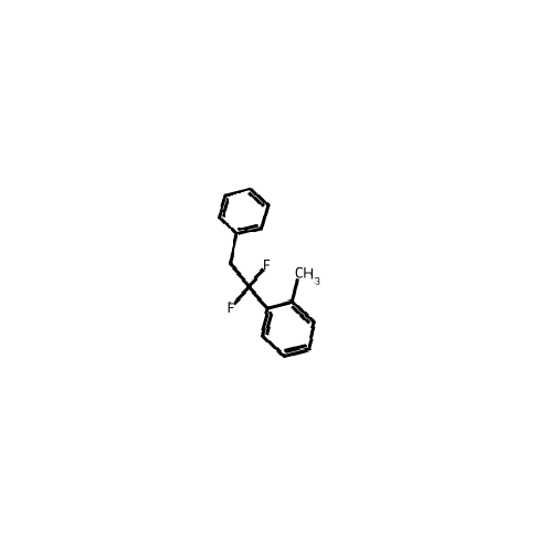 Cc1ccccc1C(F)(F)Cc1ccccc1